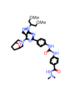 COCC(COC)n1ncc2c(N3CC4CCC(C3)O4)nc(-c3ccc(NC(=O)Nc4ccc(C(=O)NN(C)C)cc4)cc3)nc21